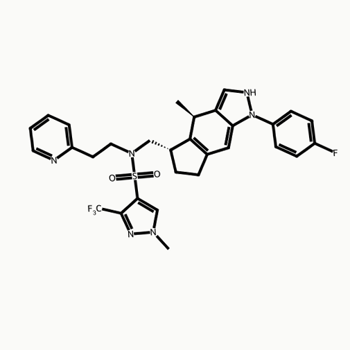 C[C@H]1C2=CNN(c3ccc(F)cc3)C2=CC2=C1[C@@H](CN(CCc1ccccn1)S(=O)(=O)c1cn(C)nc1C(F)(F)F)CC2